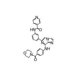 O=C(Nc1cccc(-c2cn3ccnc3c(Nc3ccc(C(=O)N4CCOCC4)cc3)n2)c1)c1ccncc1